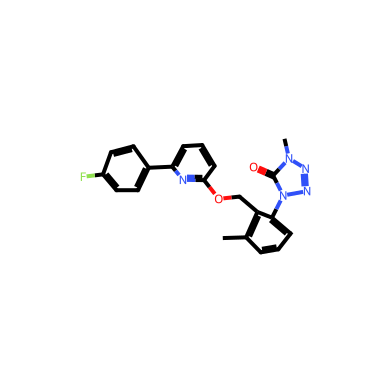 Cc1cccc(-n2nnn(C)c2=O)c1COc1cccc(-c2ccc(F)cc2)n1